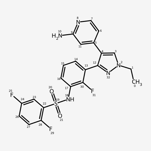 CCn1cc(-c2ccnc(N)c2)c(-c2cccc(NS(=O)(=O)c3cc(F)ccc3F)c2F)n1